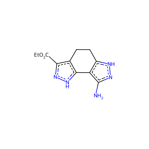 CCOC(=O)c1n[nH]c2c1CCc1[nH]nc(N)c1-2